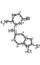 CCc1cc2cc(Nc3nc(Br)cnc3N)ccc2n1CC